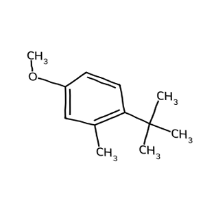 COc1ccc(C(C)(C)C)c(C)c1